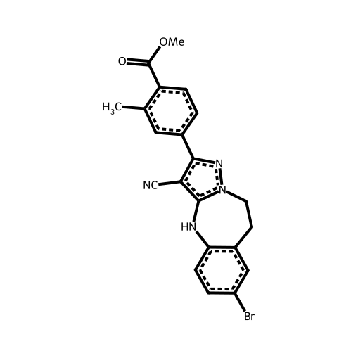 COC(=O)c1ccc(-c2nn3c(c2C#N)Nc2ccc(Br)cc2CC3)cc1C